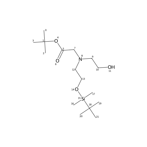 CC(C)(C)OC(=O)CN(CCO)CCO[Si](C)(C)C(C)(C)C